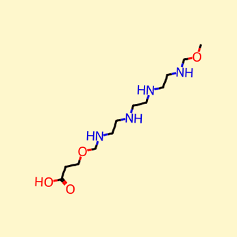 COCNCCNCCNCCNCOCCC(=O)O